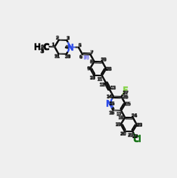 CC1CCN(C/C=C/c2ccc(C#Cc3ncc(-c4ccc(Cl)cc4)cc3F)cc2)CC1